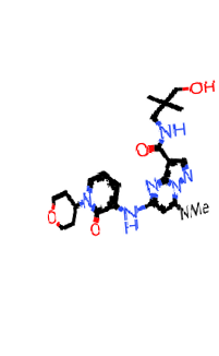 CNc1cc(Nc2cccn(C3CCOCC3)c2=O)nc2c(C(=O)NCC(C)(C)CO)cnn12